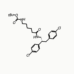 CC(C)(C)OC(=O)NCCCCCC(=O)NC[C@H](Cc1ccc(Cl)cc1)c1ccc(Cl)cc1